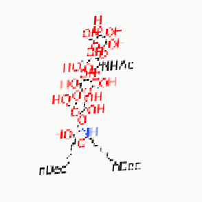 CCCCCCCCCCCCC/C=C/[C@@H](O)[C@H](CO[C@@H]1OC(CO)[C@@H](O[C@@H]2OC(CO)[C@H](O[C@@H]3OC(CO)[C@H](O)[C@H](O[C@@H]4OC(CO)[C@H](O)[C@H](O)C4O)C3NC(C)=O)[C@H](O)C2O)[C@H](O)C1O)NC(=O)CCCCCCCCCCCCCCCCC